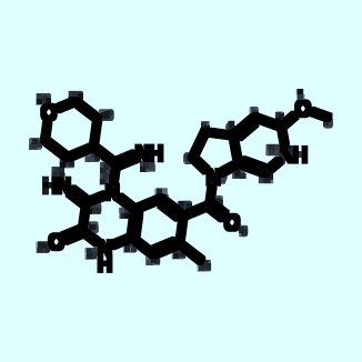 COC1C=C2CCN(C(=O)c3cc4c(cc3C)[nH]c(=O)c(=N)n4C(=N)C3CCOCC3)C2=CN1